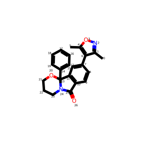 Cc1noc(C)c1-c1ccc2c(c1)C1(c3ccccc3)OCCCN1C2=O